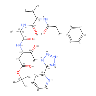 CC(C)[C@H](NC(=O)CCc1ccccc1)C(=O)N[C@@H](C)C(=O)NC(CC(=O)OC(C)(C)C)C(=O)Cn1nnnc1-c1ccccn1